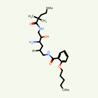 CNCCC(C)(C)C(=O)NCC(O)C(N)CC(CNC(=O)c1ccccc1OCCCCOC)C(C)C